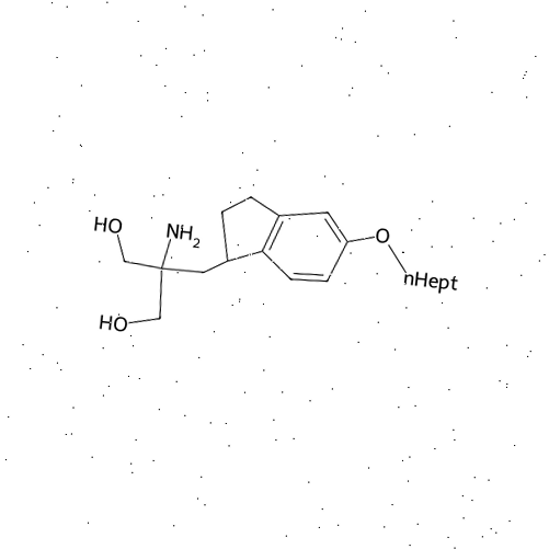 CCCCCCCOc1ccc2c(c1)CCC2CC(N)(CO)CO